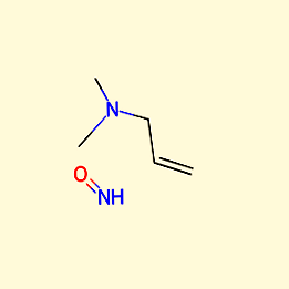 C=CCN(C)C.N=O